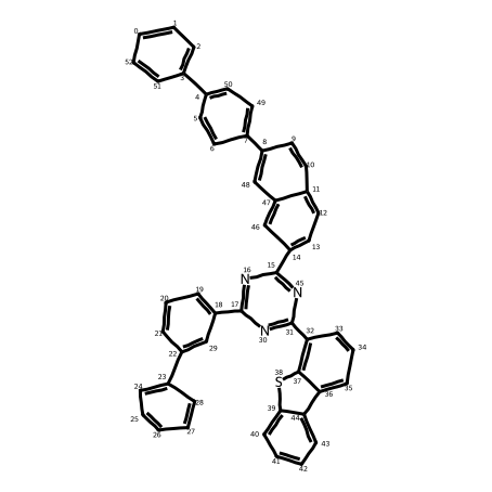 c1ccc(-c2ccc(-c3ccc4ccc(-c5nc(-c6cccc(-c7ccccc7)c6)nc(-c6cccc7c6sc6ccccc67)n5)cc4c3)cc2)cc1